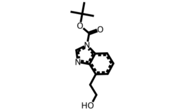 CC(C)(C)OC(=O)n1cnc2c(CCO)cccc21